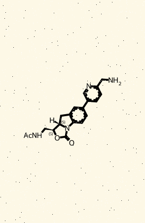 CC(=O)NC[C@@H]1OC(=O)N2c3ccc(-c4ccc(CN)nc4)cc3C[C@@H]12